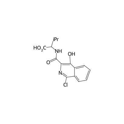 CC(C)C(NC(=O)c1nc(Cl)c2ccccc2c1O)C(=O)O